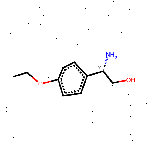 CCOc1ccc([C@H](N)CO)cc1